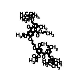 C=CCOC(=O)Nc1cc(OCCCOc2cc(OC(N)=O)c(C(=O)N3CC(=C)CC3CO[Si](C)(C)C(C)(C)C)cc2OC)c(OC)cc1C(=O)N1CC(=C)CC1CO[Si](C)(C)C(C)(C)C